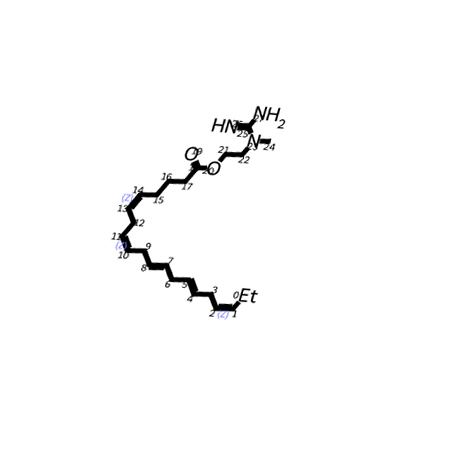 CC/C=C\CC=CCC=CC/C=C\C/C=C\CCCC(=O)OCCN(C)C(=N)N